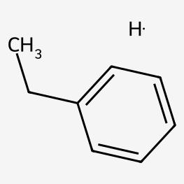 CCc1ccccc1.[H]